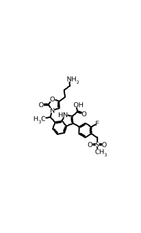 CC(c1cccc2c(-c3ccc(CS(C)(=O)=O)c(F)c3)c(C(=O)O)[nH]c12)n1cc(CCCN)oc1=O